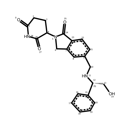 O=C1CCC(N2Cc3cc(CN[C@H](CO)c4ccccc4)ccc3C2=O)C(=O)N1